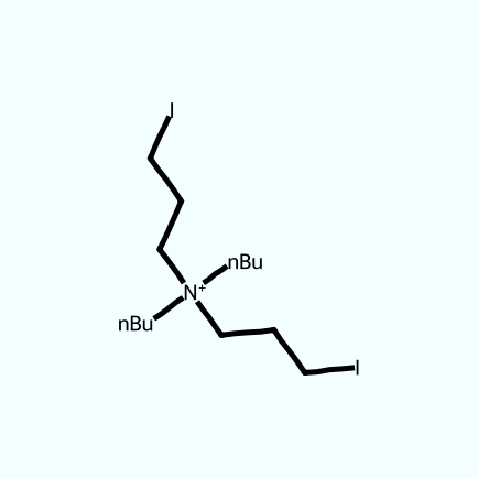 CCCC[N+](CCCC)(CCCI)CCCI